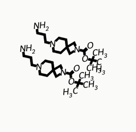 CC(C)(C)OC(=O)N1CC2(CCN(CCCN)CC2)C1.CC(C)(C)OC(=O)N1CC2(CCN(CCCN)CC2)C1